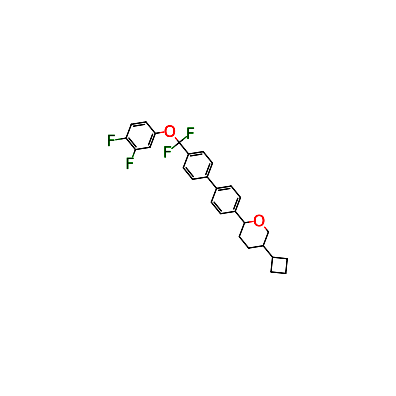 Fc1ccc(OC(F)(F)c2ccc(-c3ccc(C4CCC(C5CCC5)CO4)cc3)cc2)cc1F